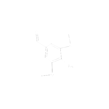 Bc1c(OC)cc(C=O)cc1OC